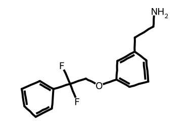 NCCc1cccc(OCC(F)(F)c2ccccc2)c1